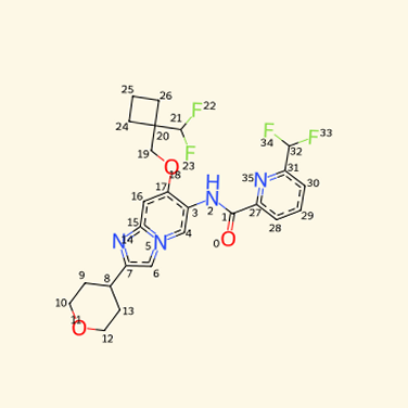 O=C(Nc1cn2cc(C3CCOCC3)nc2cc1OCC1(C(F)F)CCC1)c1cccc(C(F)F)n1